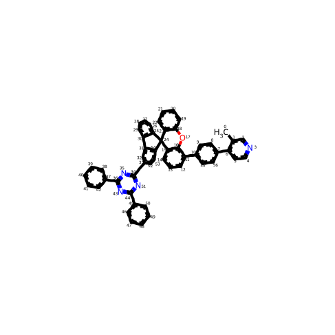 Cc1cnccc1-c1ccc(-c2cccc3c2Oc2ccccc2C32c3ccccc3-c3cc(-c4nc(-c5ccccc5)nc(-c5ccccc5)n4)ccc32)cc1